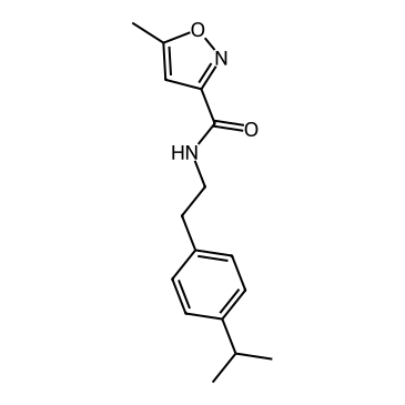 Cc1cc(C(=O)NCCc2ccc(C(C)C)cc2)no1